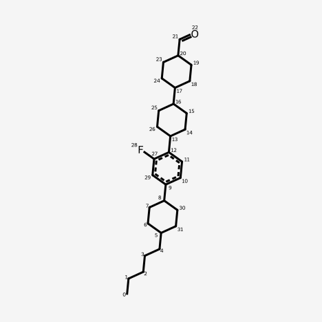 CCCCCC1CCC(c2ccc(C3CCC(C4CCC(C=O)CC4)CC3)c(F)c2)CC1